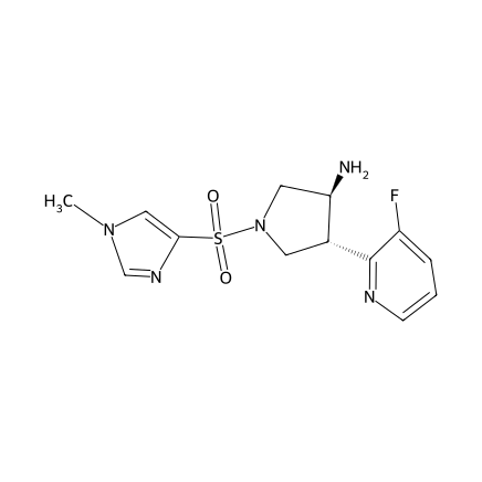 Cn1cnc(S(=O)(=O)N2C[C@@H](N)[C@H](c3ncccc3F)C2)c1